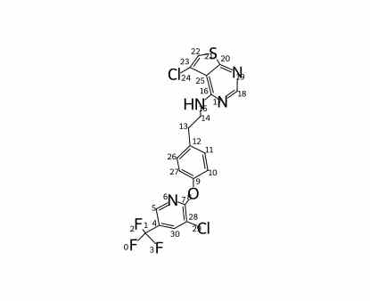 FC(F)(F)c1cnc(Oc2ccc(CCNc3ncnc4scc(Cl)c34)cc2)c(Cl)c1